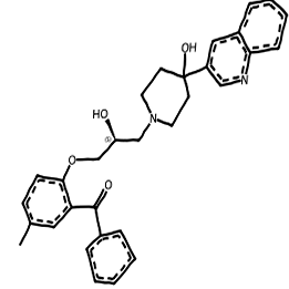 Cc1ccc(OC[C@@H](O)CN2CCC(O)(c3cnc4ccccc4c3)CC2)c(C(=O)c2ccccc2)c1